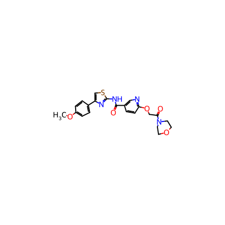 COc1ccc(-c2csc(NC(=O)c3ccc(OCC(=O)N4CCOCC4)nc3)n2)cc1